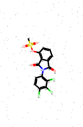 CS(=O)(=O)Oc1cccc2c1C(=O)N(c1ccc(Cl)c(Cl)c1Cl)C2=O